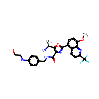 COc1ccc(-c2nc(C(=O)NCc3ccc(NCCO)cc3)c([C@H](C)N)o2)c2ccc(C(F)(F)F)nc12